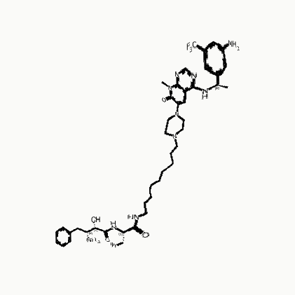 CC(C)C[C@H](NC(=O)[C@@H](O)[C@H](N)Cc1ccccc1)C(=O)NCCCCCCCCCN1CCN(c2cc3c(N[C@H](C)c4cc(N)cc(C(F)(F)F)c4)ncnc3n(C)c2=O)CC1